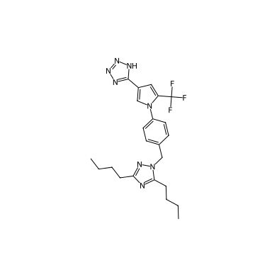 CCCCc1nc(CCCC)n(Cc2ccc(-n3cc(-c4nnn[nH]4)cc3C(F)(F)F)cc2)n1